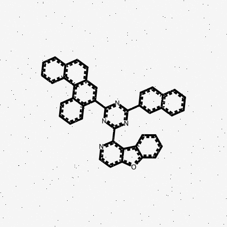 c1ccc2cc(-c3nc(-c4cc5ccc6ccccc6c5c5ccccc45)nc(-c4nccc5oc6ccccc6c45)n3)ccc2c1